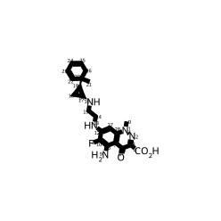 Cn1nc(C(=O)O)c(=O)c2c(N)c(F)c(NCCN[C@@H]3C[C@H]3C3(C)C=CC=CC3)cc21